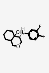 O[C@]12CCCCC1COC[C@H]2Nc1ccc(F)c(F)c1